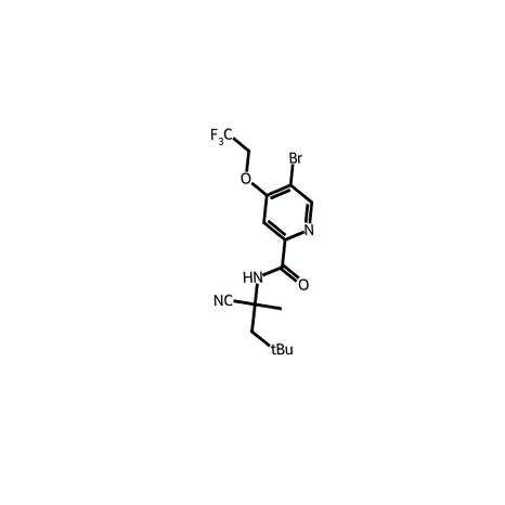 CC(C)(C)CC(C)(C#N)NC(=O)c1cc(OCC(F)(F)F)c(Br)cn1